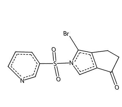 O=C1CCc2c1cn(S(=O)(=O)c1cccnc1)c2Br